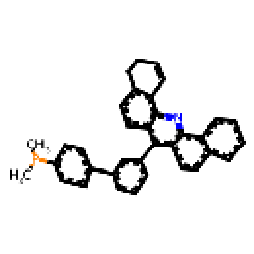 CP(C)c1ccc(-c2cccc(-c3c4ccc5c(c4nc4c3ccc3ccccc34)C=CCC5)c2)cc1